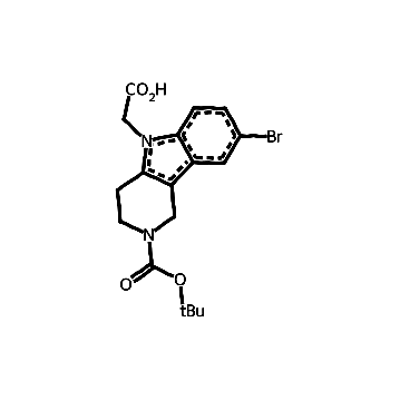 CC(C)(C)OC(=O)N1CCc2c(c3cc(Br)ccc3n2CC(=O)O)C1